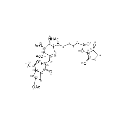 CC(=O)NC1C(OCCCCC(=O)ON2C(=O)CCC2=O)OC(CNC(=O)C2CC(OC(C)=O)CN2C(=O)C(F)(F)F)C(OC(C)=O)C1OC(C)=O